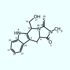 CN1C(=O)C2Cc3c([nH]c4ccccc34)C(CO)N2C1=S